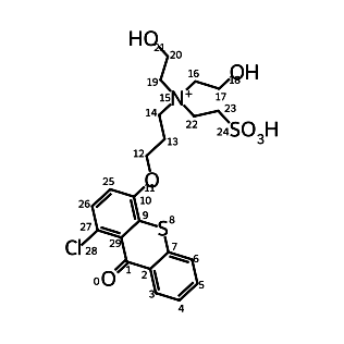 O=c1c2ccccc2sc2c(OCCC[N+](CCO)(CCO)CCS(=O)(=O)O)ccc(Cl)c12